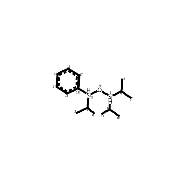 CC(C)[SiH](O[SiH](C(C)C)C(C)C)c1ccccc1